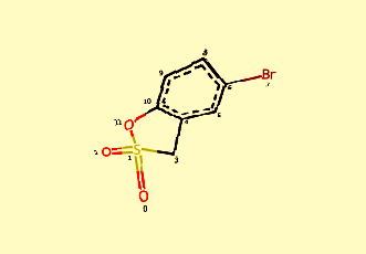 O=S1(=O)Cc2cc(Br)ccc2O1